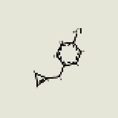 Clc1ccc(CC2=CC2)cc1